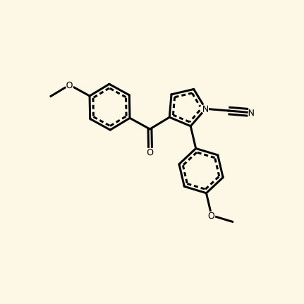 COc1ccc(C(=O)c2ccn(C#N)c2-c2ccc(OC)cc2)cc1